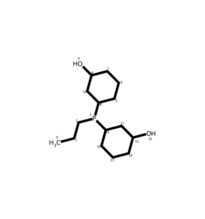 CCCP(C1CCCC(O)C1)C1CCCC(O)C1